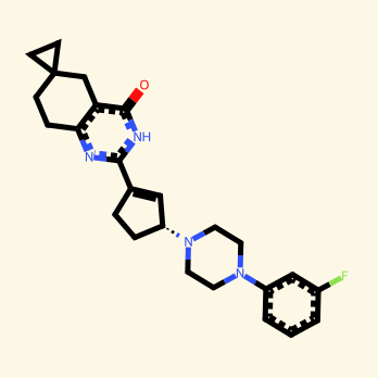 O=c1[nH]c(C2=C[C@H](N3CCN(c4cccc(F)c4)CC3)CC2)nc2c1CC1(CC2)CC1